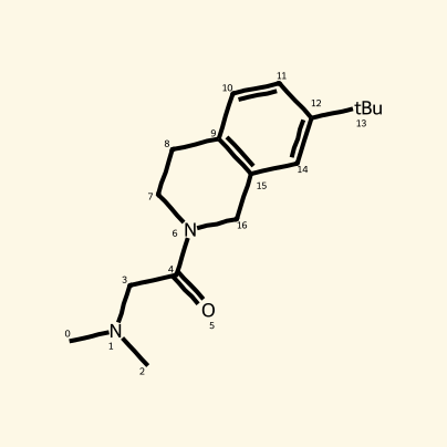 CN(C)CC(=O)N1CCc2ccc(C(C)(C)C)cc2C1